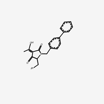 C/C(O)=C1\C(=O)C(CC(C)C)N(Cc2ccc(-c3ccccc3)cc2)C1=O